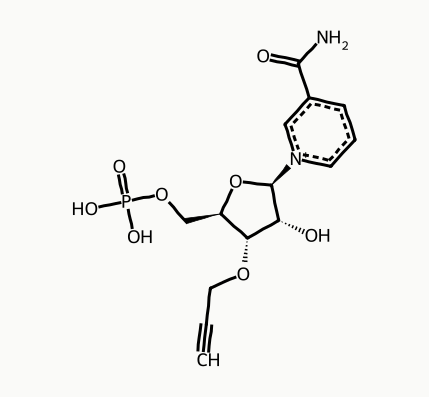 C#CCO[C@H]1[C@@H](O)[C@H]([n+]2cccc(C(N)=O)c2)O[C@@H]1COP(=O)(O)O